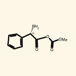 COC(=O)OC(=O)[C@@H](N)c1ccccc1